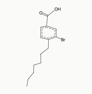 CCCCCCCc1ccc(C(=O)O)cc1Br